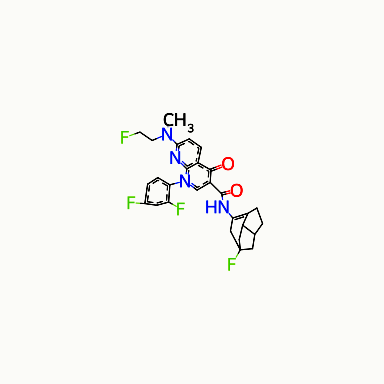 CN(CCF)c1ccc2c(=O)c(C(=O)NC3=C4CCC5CC(F)(C3)CC45)cn(-c3ccc(F)cc3F)c2n1